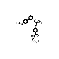 CC(CCc1ccc(C(=O)NCCC(=O)O)cc1)COc1cccc(-c2ccc(OC(F)(F)F)cc2)c1